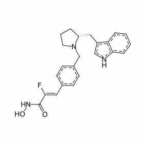 O=C(NO)/C(F)=C/c1ccc(CN2CCC[C@@H]2Cc2c[nH]c3ccccc23)cc1